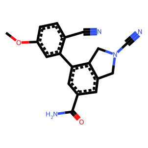 COc1ccc(C#N)c(-c2cc(C(N)=O)cc3c2CN(C#N)C3)c1